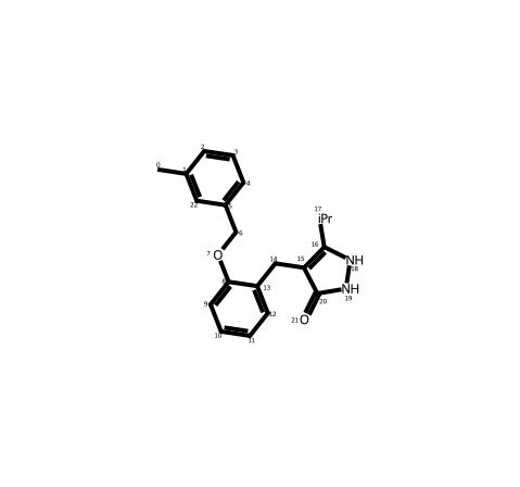 Cc1cccc(COc2ccccc2Cc2c(C(C)C)[nH][nH]c2=O)c1